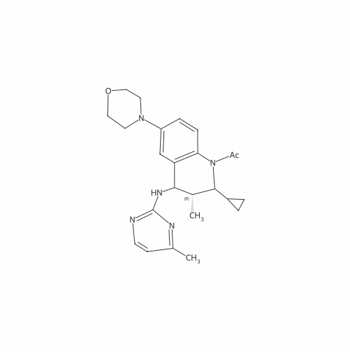 CC(=O)N1c2ccc(N3CCOCC3)cc2C(Nc2nccc(C)n2)[C@@H](C)C1C1CC1